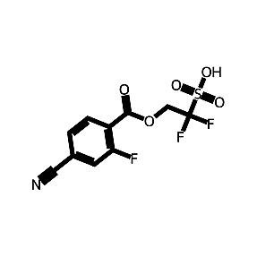 N#Cc1ccc(C(=O)OCC(F)(F)S(=O)(=O)O)c(F)c1